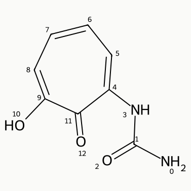 NC(=O)Nc1ccccc(O)c1=O